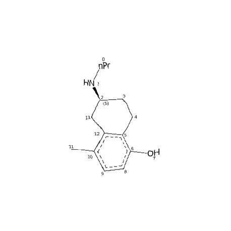 CCCN[C@H]1CCc2c(O)ccc(C)c2C1